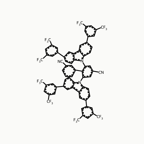 N#Cc1cccc(-c2c(-n3c4ccc(-c5cc(C(F)(F)F)cc(C(F)(F)F)c5)cc4c4cc(-c5cc(C(F)(F)F)cc(C(F)(F)F)c5)ccc43)cc(C#N)cc2-n2c3ccc(-c4cc(C(F)(F)F)cc(C(F)(F)F)c4)cc3c3cc(-c4cc(C(F)(F)F)cc(C(F)(F)F)c4)ccc32)c1